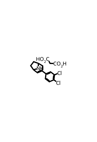 Clc1ccc(C2=CC3CCC(C2)N3)cc1Cl.O=C(O)CC(=O)O